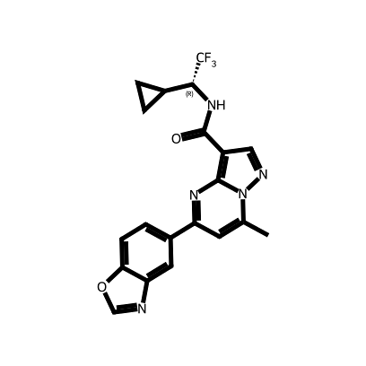 Cc1cc(-c2ccc3ocnc3c2)nc2c(C(=O)N[C@H](C3CC3)C(F)(F)F)cnn12